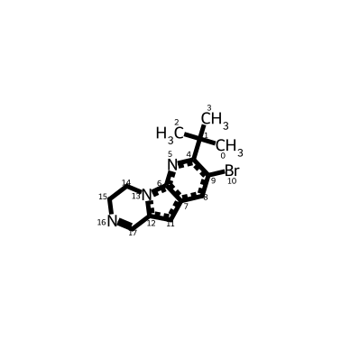 CC(C)(C)c1nc2c(cc1Br)cc1n2CCN=C1